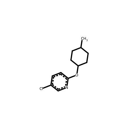 CC1CCC(Oc2ccc(Cl)cn2)CC1